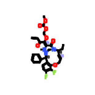 C=CC(=O)/C(OCOC(=O)OC)=C1/C(=O)N2CN([C@H](c3ccccc3)c3ccc(F)c(F)c3OC/C=C/[C@@H]2CC)N1C